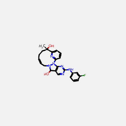 C[C@]1(O)CC/C=C\CN2C(O)c3cnc(Nc4cccc(F)c4)nc3N2c2cccc1n2